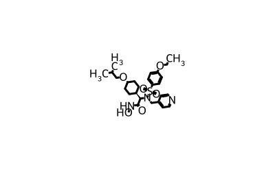 CCOc1ccc(S(=O)(=O)N(Cc2ccncc2)C(C(=O)NO)[C@H]2CC[C@H](OCC(C)C)CC2)cc1